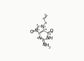 C=CCn1c[n+]([O-])c2nc(N)[nH]c(=O)c21